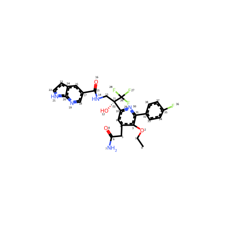 CCOc1c(CC(N)=O)cc([C@@](O)(CNC(=O)c2cnc3[nH]ccc3c2)C(F)(F)F)nc1-c1ccc(F)cc1